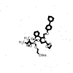 COCCOCN(c1onc(C)c1C)S(=O)(=O)c1ccccc1-c1ccc(-c2ncco2)cc1COc1ccc(-c2ccccc2)cc1